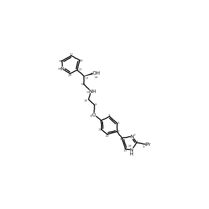 CC(C)c1nc(-c2ccc(OCCNC[C@H](O)c3cccnc3)cc2)c[nH]1